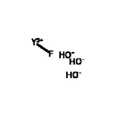 [F][Y+3].[OH-].[OH-].[OH-]